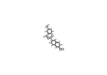 COc1ccc(OC(=O)c2ccc3cc(O)ccc3c2)c(OC)c1